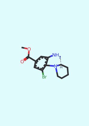 COC(=O)c1cc(N)c(N2CCCC[C@H]2C)c(Br)c1